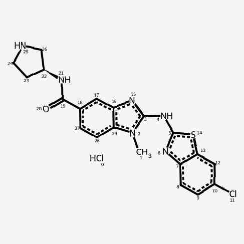 Cl.Cn1c(Nc2nc3ccc(Cl)cc3s2)nc2cc(C(=O)N[C@H]3CCNC3)ccc21